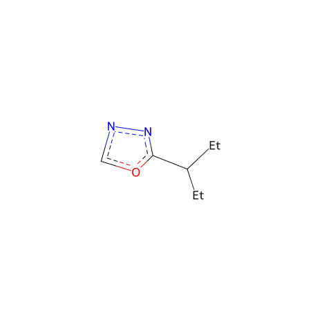 CCC(CC)c1nnco1